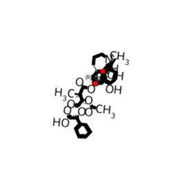 CC(=O)O[C@@H](C(=O)O[C@H](C(=O)O)c1ccccc1)[C@@H](C)C(=O)OC1=CC[C@@]2(O)[C@H]3Cc4ccc(O)c5c4[C@@]2(CCCN3C)[C@H]1O5